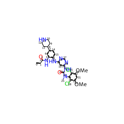 C=CC(=O)Nc1cc(C2CCNCC2)ccc1Nc1cc(NC(=O)N(C)c2c(Cl)c(OC)cc(OC)c2Cl)ncn1